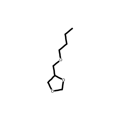 CCCCOCC1COCO1